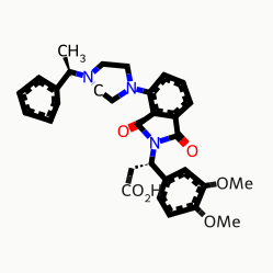 COc1ccc([C@H](CC(=O)O)N2C(=O)c3cccc(N4CCN([C@H](C)c5ccccc5)CC4)c3C2=O)cc1OC